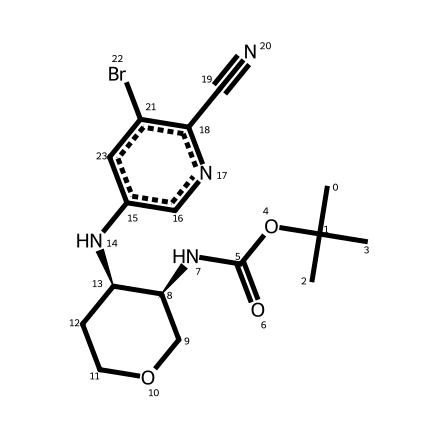 CC(C)(C)OC(=O)N[C@H]1COCC[C@H]1Nc1cnc(C#N)c(Br)c1